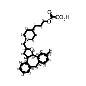 O=C(O)C(=O)OCCCC1CCN(CC2CC3c4ccccc4Cc4ccc(F)cc4C3O2)CC1